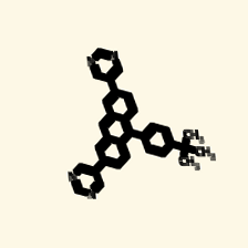 CC(C)(C)c1ccc(-c2c3ccc(-c4cncnc4)cc3cc3cc(-c4cncnc4)ccc23)cc1